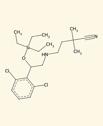 CC[Si](CC)(CC)OC(CNCCC(C)(C)C#N)c1c(Cl)cccc1Cl